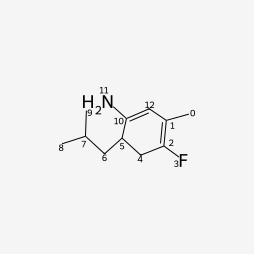 CC1=C(F)CC(CC(C)C)C(N)=C1